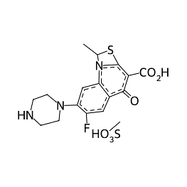 CC1Sc2c(C(=O)O)c(=O)c3cc(F)c(N4CCNCC4)cc3n21.CS(=O)(=O)O